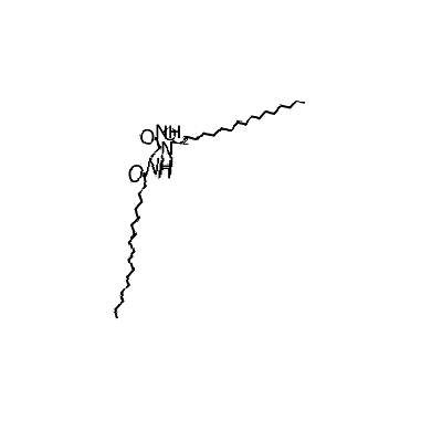 CCCCCCCCCCCCCCCCCC(=O)NCC(NC(=O)CCCCCCCCCCCCCCCCC)C(N)=O